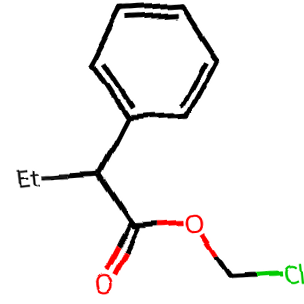 CCC(C(=O)OCCl)c1ccccc1